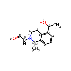 CC(O)c1cccc2c1CCN(BC=O)[C@H]2C